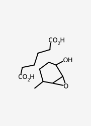 CC1CCC(O)C2OC12.O=C(O)CCCCC(=O)O